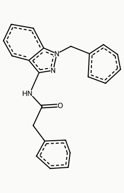 O=C(Cc1ccccc1)Nc1nn(Cc2ccccc2)c2ccccc12